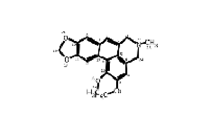 COc1cc2c3c(cc4cc5c(cc4c3c1OC)OCO5)CN(C)C2